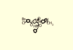 Cn1ncc2cc(-n3c(C(=O)NCc4ccccc4)c4n(c3=O)CCN(C(=O)c3ccc(Br)c(Cl)c3)C4)ccc21